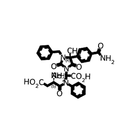 CC(=O)[C@@](C(=O)O)(N1C(=O)N(Cc2ccccc2)[C@](C)(c2ccc(C(N)=O)cc2)C1=O)N(C(=O)[C@@H](N)CC(=O)O)c1ccccc1